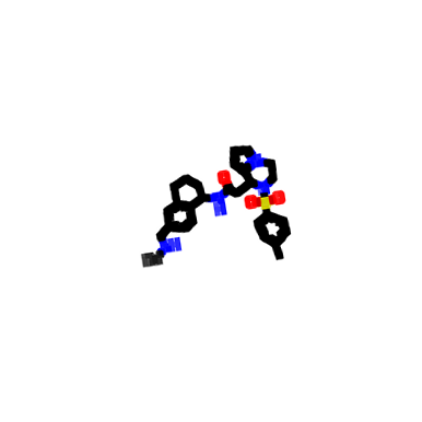 CCC(C)NCc1ccc2c(c1)CCCC2NC(=O)CC1c2cccn2CCN1S(=O)(=O)c1ccc(C)cc1